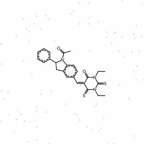 CCN1C(=O)/C(=C\c2ccc3c(c2)CC(c2ccccc2)N3C(C)=O)C(=S)N(CC)C1=S